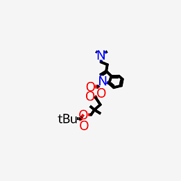 CN(C)CCc1cn(C(=O)OC(=O)CC(C)(C)COC(=O)C(C)(C)C)c2ccccc12